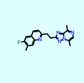 Cc1cc2nc(CCc3nc4c(C)ncc(C)n4n3)ccc2cc1F